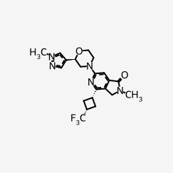 CN1Cc2c(cc(N3CCO[C@H](c4cnn(C)c4)C3)nc2[C@H]2C[C@@H](C(F)(F)F)C2)C1=O